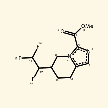 COC(=O)c1ncc2n1CC(C(F)C(F)F)CC2